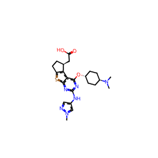 Cn1cc(Nc2nc(O[C@H]3CC[C@H](N(C)C)CC3)c3c4c(sc3n2)CC[C@H]4CC(=O)O)cn1